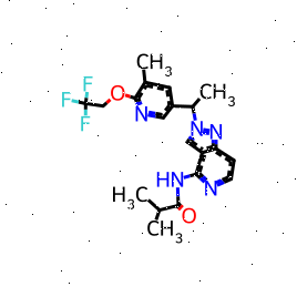 Cc1cc(C(C)n2cc3c(NC(=O)C(C)C)nccc3n2)cnc1OCC(F)(F)F